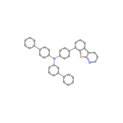 c1ccc(-c2ccc(N(c3ccc(-c4cccc5c4sc4ncccc45)cc3)c3cccc(-c4ccccc4)c3)cc2)cc1